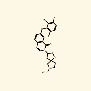 N#Cc1c(F)ccc(F)c1Oc1ccc2ncn(C3COC4(CCN(C(=O)O)C4)C3)c(=O)c2c1